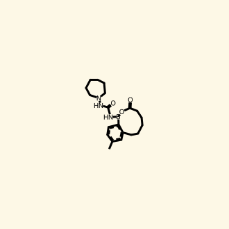 Cc1ccc2c(c1)CCCCCC(=O)OB2NC(=O)NN1CCCCCC1